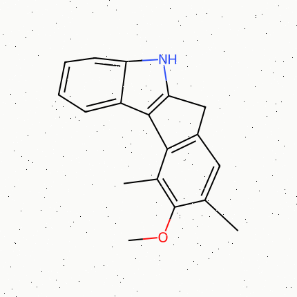 COc1c(C)cc2c(c1C)-c1c([nH]c3ccccc13)C2